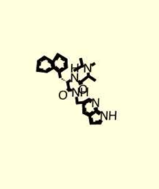 CC(C)N(C)C(C)C(=O)N[C@@H](Cc1cccc2ccccc12)C(=O)NCc1cnc2[nH]ccc2c1